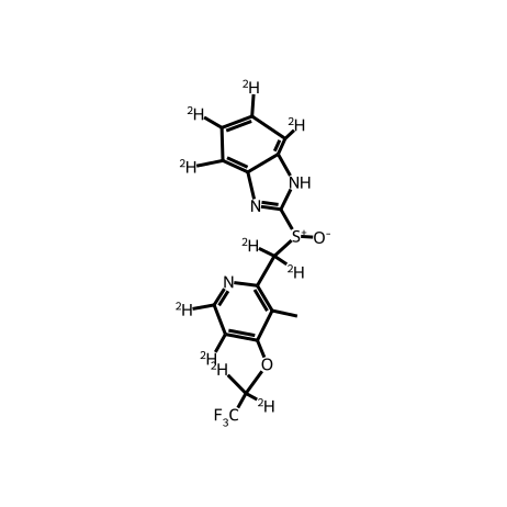 [2H]c1nc(C([2H])([2H])[S+]([O-])c2nc3c([2H])c([2H])c([2H])c([2H])c3[nH]2)c(C)c(OC([2H])([2H])C(F)(F)F)c1[2H]